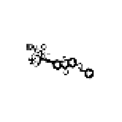 CC(C)(C)OC(=O)NC1(C#Cc2ccc3c(=O)c4cc(OCc5ccccc5)ccc4sc3c2)COC(C)(C)OC1